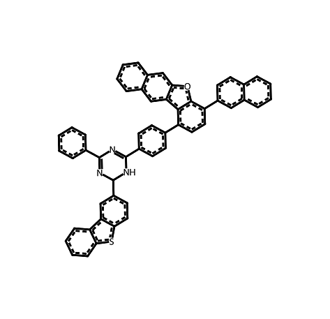 c1ccc(C2=NC(c3ccc4sc5ccccc5c4c3)NC(c3ccc(-c4ccc(-c5ccc6ccccc6c5)c5oc6cc7ccccc7cc6c45)cc3)=N2)cc1